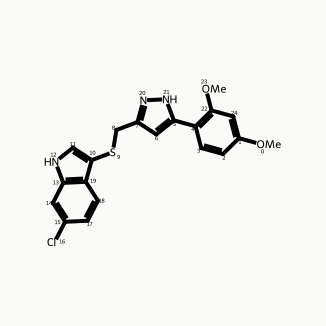 COc1ccc(-c2cc(CSc3c[nH]c4cc(Cl)ccc34)n[nH]2)c(OC)c1